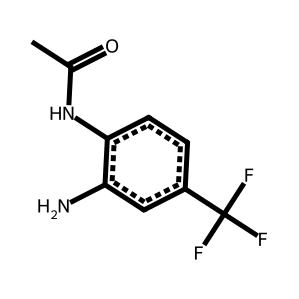 CC(=O)Nc1ccc(C(F)(F)F)cc1N